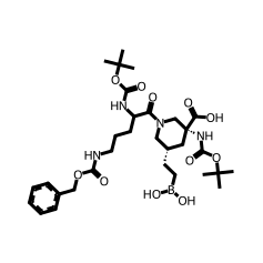 CC(C)(C)OC(=O)NC(CCCNC(=O)OCc1ccccc1)C(=O)N1C[C@@H](CCB(O)O)C[C@](NC(=O)OC(C)(C)C)(C(=O)O)C1